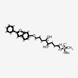 CC(C)(C)[Si](C)(C)OCCCC(O)C(O)CCCOc1ccc2cc(-c3ccccc3)oc2c1